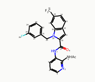 CC(=O)Nc1ncccc1NC(=O)c1cc2ccc(C(F)(F)F)cc2n1Cc1cccc(F)c1